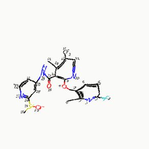 Cc1nc(F)ccc1Oc1ncc(C(F)(F)F)c(C)c1C(=O)Nc1ccnc([S+](C)[O-])c1